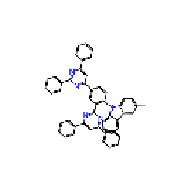 Cc1ccc2c(c1)c1ccccc1n2-c1ccc(-c2cc(-c3ccccc3)nc(-c3ccccc3)n2)cc1-c1nc(-c2ccccc2)cc(-c2ccccc2)n1